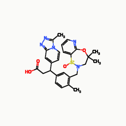 Cc1ccc(C(CC(=O)O)c2ccn3c(C)nnc3c2)cc1CN1CC(C)(C)Oc2ncccc2[S+]1[O-]